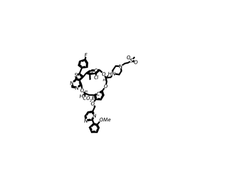 CCOC(=O)[C@H]1Cc2cc(ccc2OCc2ccnc(-c3ccccc3OC)n2)OC[C@@H](CN2CCN(CCS(C)(=O)=O)CC2)Oc2ccc(c(C)c2Cl)-c2c(-c3ccc(F)cc3)sc3ncnc(c23)O1